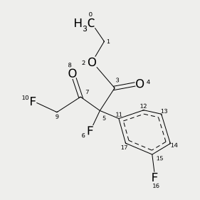 CCOC(=O)C(F)(C(=O)CF)c1cccc(F)c1